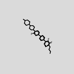 CCCCc1ccc(-c2ccc(-c3ccc(C4CCC(C5CCC(C)CC5)CC4)c(F)c3)cc2)c(F)c1F